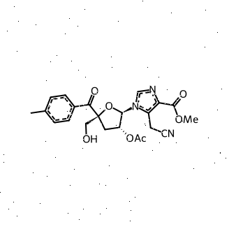 COC(=O)c1ncn([C@@H]2O[C@@](CO)(C(=O)c3ccc(C)cc3)C[C@H]2OC(C)=O)c1CC#N